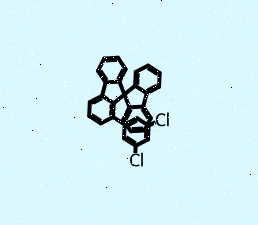 Clc1cc(Cl)cc(-c2cccc3c2C2(c4ccccc4-c4ccccc42)c2ccccc2-3)c1